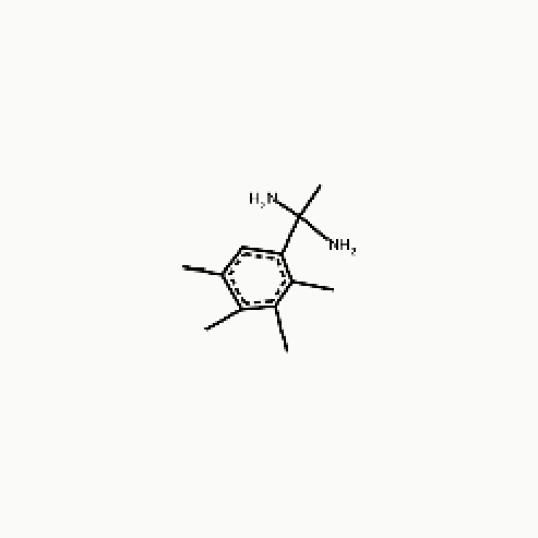 Cc1cc(C(C)(N)N)c(C)c(C)c1C